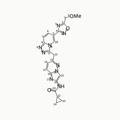 COCc1nc(-c2ccc3nnc(Cc4ccc5nc(NC(=O)C6CC6)cn5n4)n3c2)no1